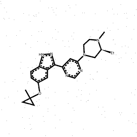 CC[C@H]1CN(c2cc(-c3n[nH]c4ccc(OC5(C)CC5)cc34)ncn2)CCN1C